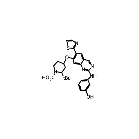 CC(C)(C)C1CC(Oc2cc3nc(Nc4cccc(O)c4)ncc3cc2-c2nccs2)CCN1C(=O)O